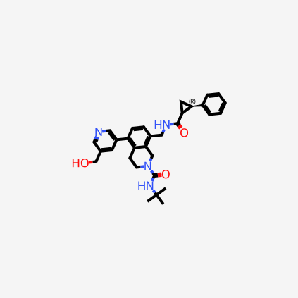 CC(C)(C)NC(=O)N1CCc2c(-c3cncc(CO)c3)ccc(CNC(=O)C3C[C@H]3c3ccccc3)c2C1